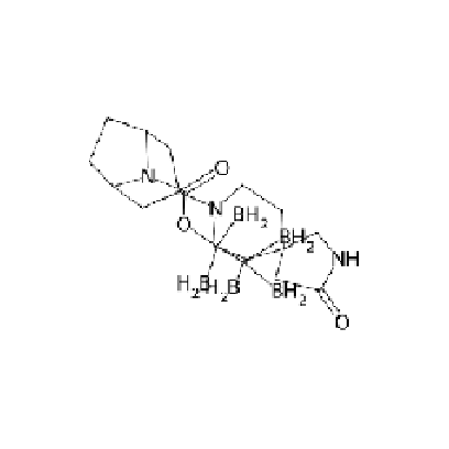 BC(B)(B)C(B)(B)OC(=O)N1C2CCC1CC(N1CCC3(CC1)CNC(=O)C3)C2